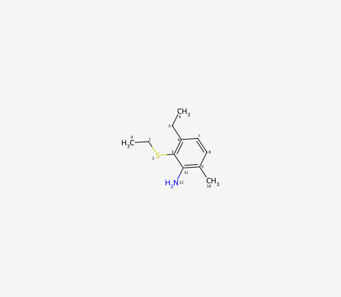 CCSc1c(CC)ccc(C)c1N